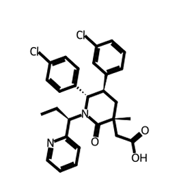 CC[C@H](c1ccccn1)N1C(=O)[C@@](C)(CC(=O)O)C[C@H](c2cccc(Cl)c2)[C@H]1c1ccc(Cl)cc1